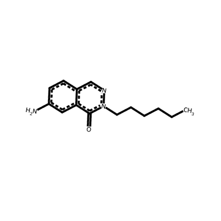 CCCCCCn1ncc2ccc(N)cc2c1=O